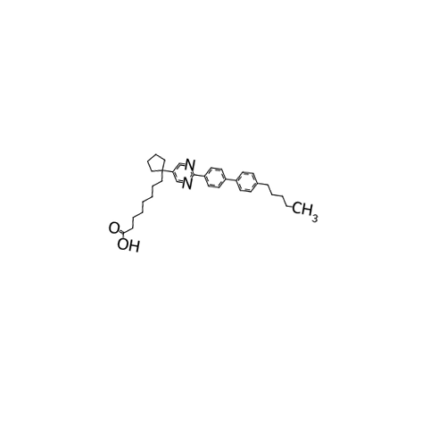 CCCCCc1ccc(-c2ccc(-c3ncc(C4(CCCCCCCC(=O)O)CCCC4)cn3)cc2)cc1